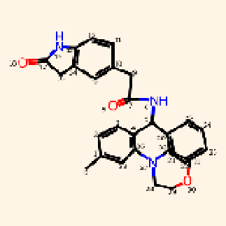 Cc1ccc(C(NC(=O)Cc2ccc3c(c2)CC(=O)N3)c2ccccc2)c(N2CCOCC2)c1